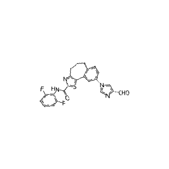 O=Cc1cn(-c2ccc3c(c2)-c2sc(C(=O)Nc4c(F)cccc4F)nc2CCC3)cn1